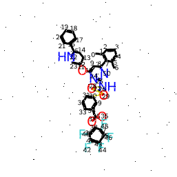 Cc1cccc(C)c1-c1cc(OC2CCC(c3ccccc3)NC2)nc(NS(=O)(=O)c2cccc(C(=O)Oc3c(F)c(F)c(F)c(F)c3F)c2)n1